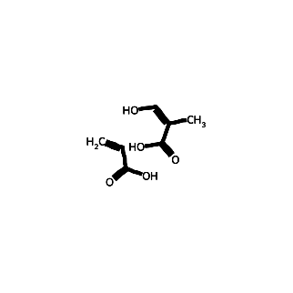 C=CC(=O)O.CC(=CO)C(=O)O